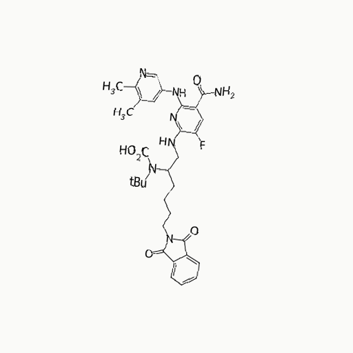 Cc1cc(Nc2nc(NCC(CCCCN3C(=O)c4ccccc4C3=O)N(C(=O)O)C(C)(C)C)c(F)cc2C(N)=O)cnc1C